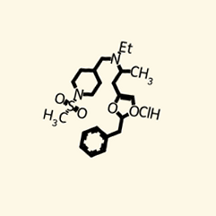 CCN(CC1CCN(S(C)(=O)=O)CC1)C(C)CC1=COC(Cc2ccccc2)O1.Cl